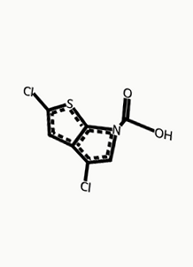 O=C(O)n1cc(Cl)c2cc(Cl)sc21